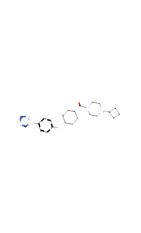 O=C([C@H]1CC[C@H](Oc2ccc(-n3cncn3)cc2)CC1)N1CCN(C2CCC2)CC1